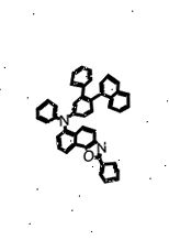 c1ccc(-c2nc3ccc4c(N(c5ccccc5)c5ccc(-c6cccc7ccccc67)c(-c6ccccc6)c5)cccc4c3o2)cc1